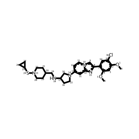 COc1cc(OC)c(-c2cn3ccc(N4CCC(NCC5CCN(SC6CC6)CC5)C4)cc3n2)cc1Cl